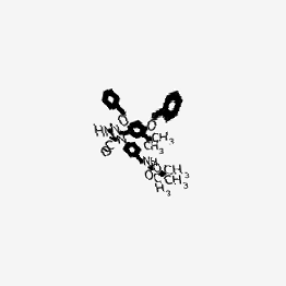 CC(C)c1cc(C2=NNC(=C=O)N2c2ccc(CNC(=O)OC(C)(C)C)cc2)c(OCc2ccccc2)cc1OCc1ccccc1